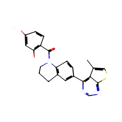 Cc1csc2ncnc(-c3ccc4c(c3)CCCN4C(=O)c3ccc(O)cc3O)c12